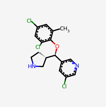 Cc1cc(Cl)cc(Cl)c1O[C@@H](c1cncc(Cl)c1)[C@H]1CCNC1